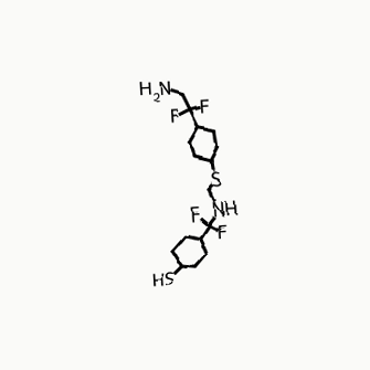 NCC(F)(F)C1CCC(SCNC(F)(F)C2CCC(S)CC2)CC1